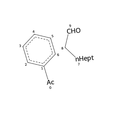 CC(=O)c1ccccc1.CCCCCCCCC=O